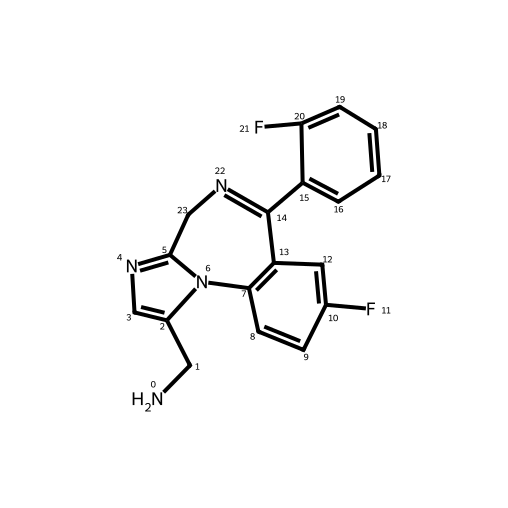 NCc1cnc2n1-c1ccc(F)cc1C(c1ccccc1F)=NC2